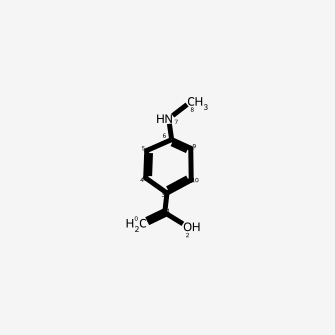 C=C(O)c1ccc(NC)cc1